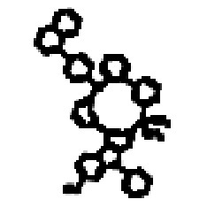 CC(C)(C)c1ccc2c3c4cc(cc3n(-c3ccccc3)c2c1)C(C)(C)c1cccc(c1)-c1ccccc1N(c1ccc(-c2cccc3ccccc23)cc1)c1cccc-4c1